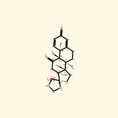 C[C@]12C=CC(=O)C=C1CC[C@@H]1[C@@H]2C(=O)C[C@@]2(C)[C@H]1CC[C@@]21OCOC12COCO2